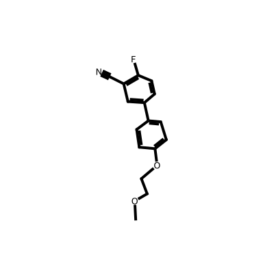 COCCOc1ccc(-c2ccc(F)c(C#N)c2)cc1